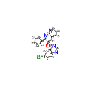 Brc1ccc2ncnc(Oc3cc4cccnc4nc3-c3ccccc3)c2c1